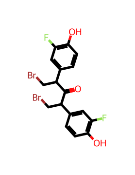 O=C(C(CBr)c1ccc(O)c(F)c1)C(CBr)c1ccc(O)c(F)c1